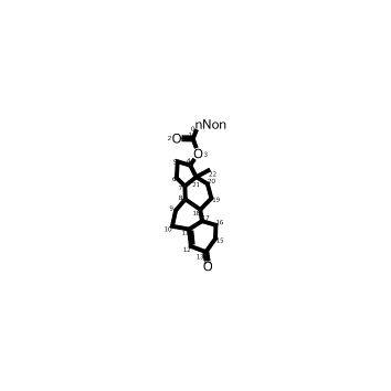 CCCCCCCCCC(=O)OC1CCC2C3CCC4=CC(=O)CCC4C3CCC12C